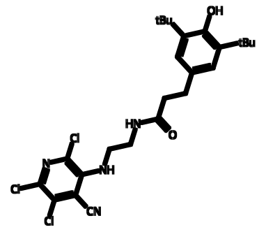 CC(C)(C)c1cc(CCC(=O)NCCNc2c(Cl)nc(Cl)c(Cl)c2C#N)cc(C(C)(C)C)c1O